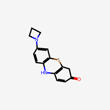 O=C1C=CC2=C(C1)Sc1cc(N3CCC3)ccc1N2